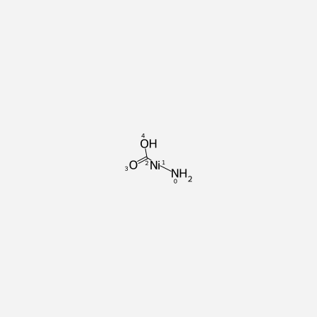 [NH2][Ni][C](=O)O